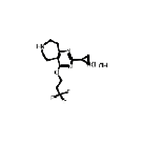 Cl.Cl.FC(F)(F)CCOc1nc(C2CC2)nc2c1CCNCC2